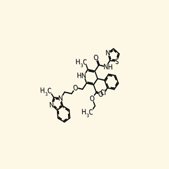 CCOC(=O)C1=C(COCCn2c(C)nc3ccccc32)NC(C)=C(C(=O)Nc2nccs2)C1c1ccccc1Cl